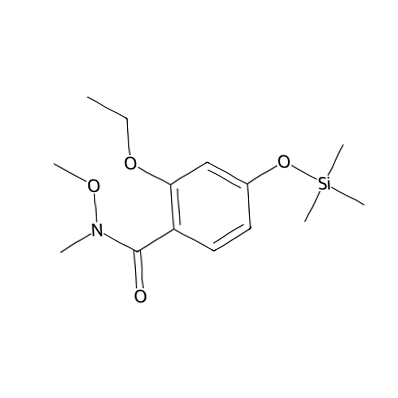 CCOc1cc(O[Si](C)(C)C)ccc1C(=O)N(C)OC